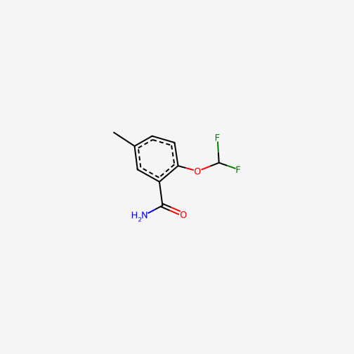 Cc1ccc(OC(F)F)c(C(N)=O)c1